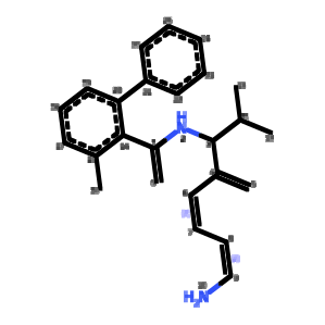 C=C(NC(C(=C)/C=C\C=C/N)C(C)C)c1c(C)cccc1-c1ccccc1